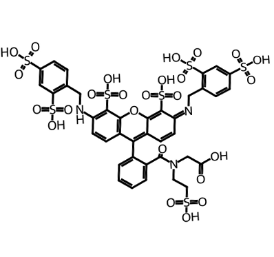 O=C(O)CN(CCS(=O)(=O)O)C(=O)c1ccccc1-c1c2cc/c(=N/Cc3ccc(S(=O)(=O)O)cc3S(=O)(=O)O)c(S(=O)(=O)O)c-2oc2c(S(=O)(=O)O)c(NCc3ccc(S(=O)(=O)O)cc3S(=O)(=O)O)ccc12